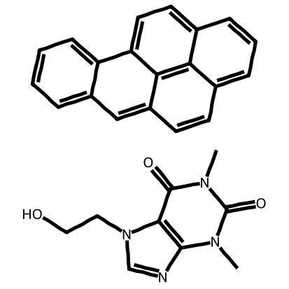 Cn1c(=O)c2c(ncn2CCO)n(C)c1=O.c1ccc2c(c1)cc1ccc3cccc4ccc2c1c34